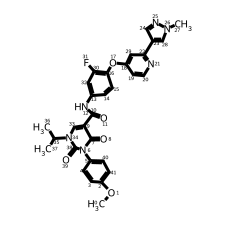 COc1ccc(-n2c(=O)c(C(=O)Nc3ccc(Oc4ccnc(-c5cnn(C)c5)c4)c(F)c3)cn(C(C)C)c2=O)cc1